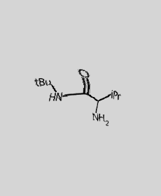 CC(C)C(N)C(=O)NC(C)(C)C